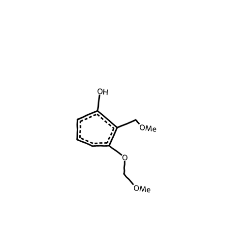 COCOc1cccc(O)c1COC